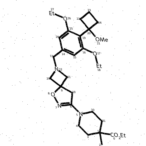 CCOC(=O)C1(C)CCN(C2=NOC3(C2)CN(Cc2cc(OCC)c(C4(OC)CCC4)c(OCC)c2)C3)CC1